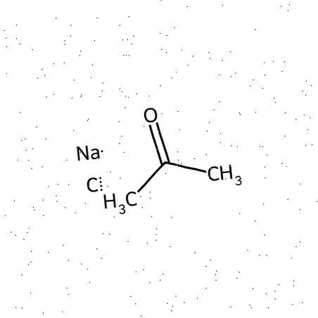 CC(C)=O.[C].[Na]